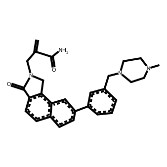 C=C(CN1Cc2c(ccc3ccc(-c4cccc(CN5CCN(C)CC5)c4)cc23)C1=O)C(N)=O